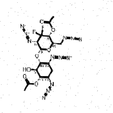 CC(=O)O[C@@H]1[C@@H](O)[C@H](O[C@H]2O[C@H](CN=[N+]=[N-])[C@@H](OC(C)=O)C(F)(F)[C@H]2N=[N+]=[N-])[C@@H](N=[N+]=[N-])C[C@H]1N=[N+]=[N-]